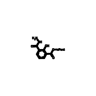 CCCCCOC(=O)c1cccc(C(=O)NN)c1O